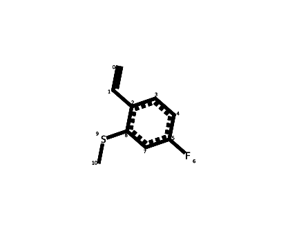 C=Cc1ccc(F)cc1SC